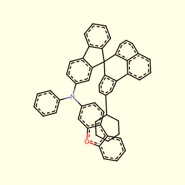 c1ccc(N(c2ccc3c(c2)C2(c4ccccc4-3)c3ccc(C4CCCCC4)cc3-c3cccc4cccc2c34)c2ccc3c(c2)oc2ccccc23)cc1